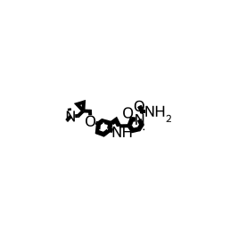 CN(C)CC1(COc2ccc3[nH]c(-c4c[c]cn(C(N)=O)c4=O)cc3c2)CC1